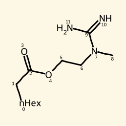 CCCCCCCC(=O)OCCN(C)C(=N)N